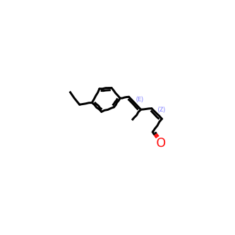 CCc1ccc(/C=C(C)/C=C\C=O)cc1